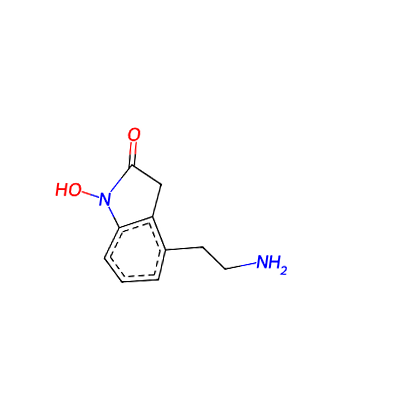 NCCc1cccc2c1CC(=O)N2O